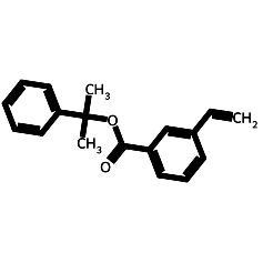 C=Cc1cccc(C(=O)OC(C)(C)c2ccccc2)c1